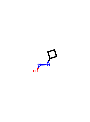 ONNC1CCC1